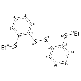 CCSc1ccccc1SSc1ccccc1SCC